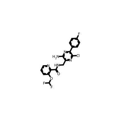 Nc1nc(-c2ccc(F)cc2)c(Cl)nc1CNC(=O)c1ncccc1OC(F)F